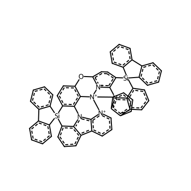 c1ccc2c(c1)-c1ccccc1[Si]21c2ccc3[n+]4c2-n2c5c(cccc5c5cccc1c52)[N+]41c2c(ccc4c2-n2c5c(cccc5c5ccc[n+]1c52)[Si]41c2ccccc2-c2ccccc21)O3